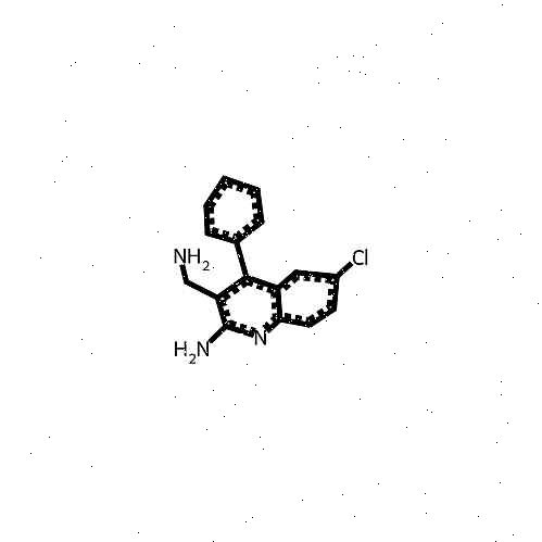 NCc1c(N)nc2ccc(Cl)cc2c1-c1ccccc1